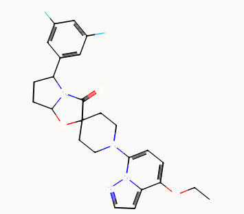 CCOc1ccc(N2CCC3(CC2)OC2CCC(c4cc(F)cc(F)c4)N2C3=O)n2nccc12